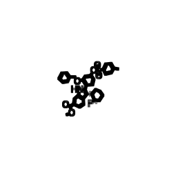 COC(=O)c1ccc2c([C@@H]3CCCC[C@H]3F)c(-c3ccc(OS(=O)(=O)c4ccc(C)cc4)cc3OCc3ccccc3)[nH]c2c1